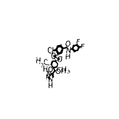 CC[C@@H]1C[C@@H](S(=O)(=O)c2cc(C(=O)Nc3ccc(F)c(F)c3)ccc2Cl)C[C@H](C)[C@@]1(O)C(O)c1c[nH]nn1